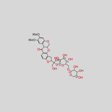 COc1cc2c(cc1OC)C1C(=O)c3ccc4c(c3OC1CO2)CC(C(C)(CO)O[C@@H]1OC(CO[C@@H]2OC[C@H](O)C(O)C2O)[C@@H](O)[C@H](O)C1O)O4